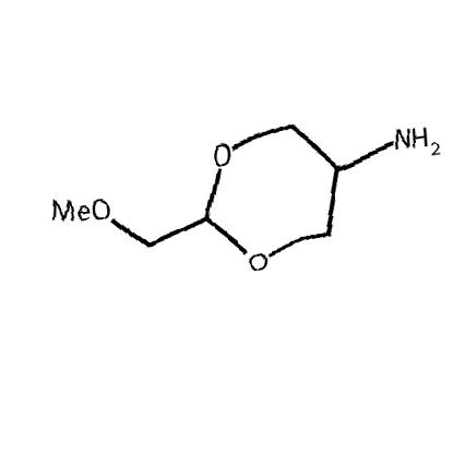 COCC1OCC(N)CO1